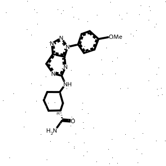 COc1ccc(-n2nnc3cnc(NC4CCC[C@@H](C(N)=O)C4)nc32)cc1